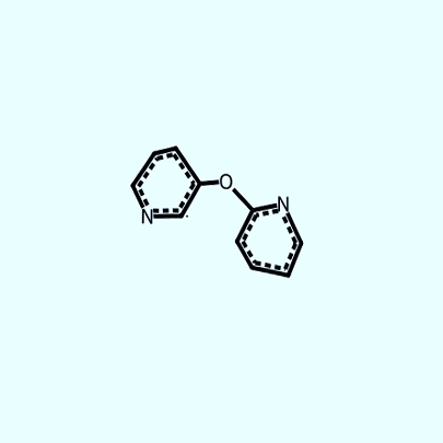 [c]1ncccc1Oc1ccccn1